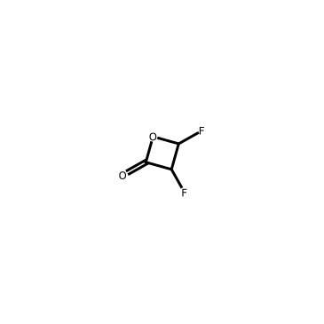 O=C1OC(F)C1F